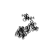 C#CCN1C(=O)COc2cc(F)c(N3C(=O)C4=C(CCCC4)C3=O)cc21.CC1COc2ccccc2N1C(=O)C(Cl)Cl.CCNc1nc(Cl)nc(NC(C)C)n1.COc1cc(OC)nc(NC(=O)NS(=O)(=O)c2ncccc2C(=O)N(C)C)n1.O=C(O)CNCP(=O)(O)O